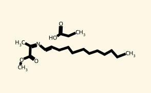 CCC(=O)O.CCCCCCCCCCC=CN=C(C)C(=O)OC